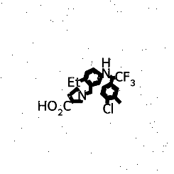 CCc1ccc(NC(c2ccc(Cl)c(C)c2)C(F)(F)F)cc1CN1CCC(C(=O)O)C1